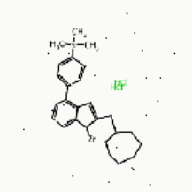 C[Si](C)(C)c1ccc(-c2cccc3c2C=C(CC2CCCCCC2)[CH]3[Zr])cc1.Cl.Cl